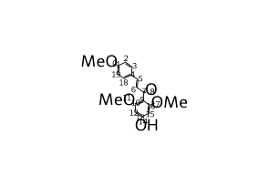 COc1ccc(/C=C/C(=O)c2c(OC)cc(O)cc2OC)cc1